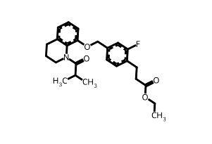 CCOC(=O)CCc1ccc(COc2cccc3c2N(C(=O)C(C)C)CCC3)cc1F